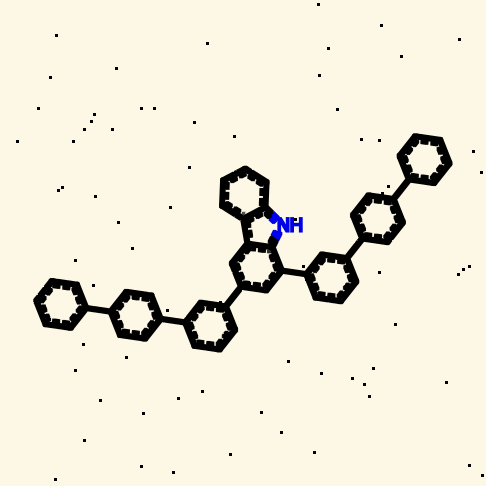 c1ccc(-c2ccc(-c3cccc(-c4cc(-c5cccc(-c6ccc(-c7ccccc7)cc6)c5)c5[nH]c6ccccc6c5c4)c3)cc2)cc1